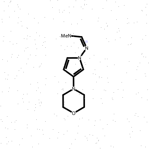 CN/C=N\n1ccc(N2CCOCC2)c1